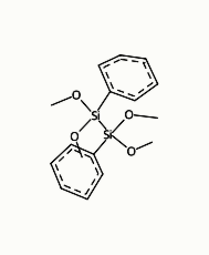 CO[Si](OC)(c1ccccc1)[Si](OC)(OC)c1ccccc1